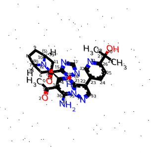 CC(=O)c1c([C@H]2C[C@H]3CC[C@@H](C2)N3C(=O)c2ncn[nH]2)nc2c(-c3ccc(C(C)(C)O)nc3)cnn2c1N